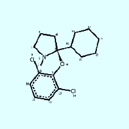 CN1CCC[C@]1(Oc1c(Cl)cccc1Cl)C1CCCCC1